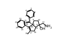 C=C(c1ccccc1)[C@@]12CCC(O)(CN)C1CC(C)=C2c1ccccc1